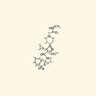 CNC(=O)CN1CCC(n2ncc(C(=O)N3CCCC3c3ccccc3C(F)(F)F)c2C2CC2)CC1.Cl